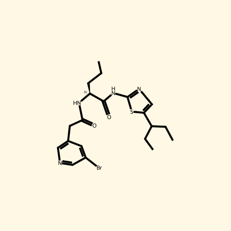 CCC[C@H](NC(=O)Cc1cncc(Br)c1)C(=O)Nc1ncc(C(CC)CC)s1